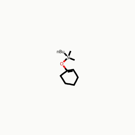 CCCC[Si](C)(C)OC1=CCCCC1